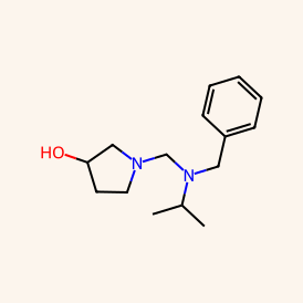 CC(C)N(Cc1ccccc1)CN1CCC(O)C1